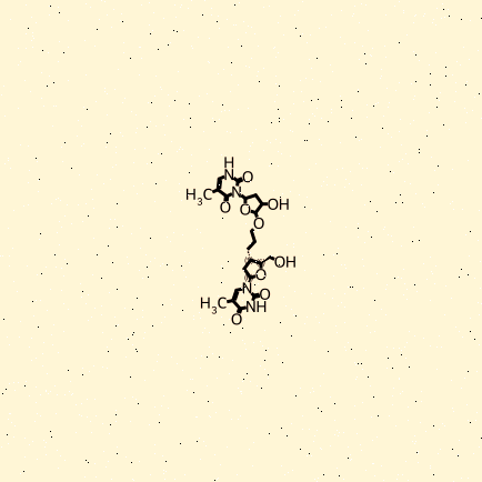 Cc1cn([C@H]2C[C@H](CCCOC3OC(n4c(=O)[nH]cc(C)c4=O)CC3O)[C@@H](CO)O2)c(=O)[nH]c1=O